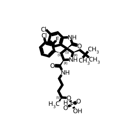 C[C@@H](CCCNC(=O)[C@@H]1N[C@H](CC(C)(C)C)[C@]2(C(=O)Nc3cc(Cl)ccc32)[C@H]1c1cccc(Cl)c1F)OP(=O)(O)O